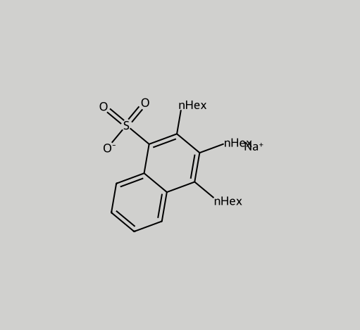 CCCCCCc1c(CCCCCC)c(S(=O)(=O)[O-])c2ccccc2c1CCCCCC.[Na+]